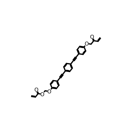 C=CC(=O)COc1ccc(C#Cc2ccc(C#Cc3ccc(OCOC(=O)C=C)cc3)cc2)cc1